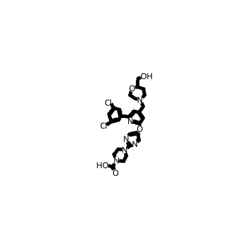 O=C(O)N1CCN(c2ncc(Oc3cc(CN4CCOC(CO)CC4)cc(-c4cc(Cl)cc(Cl)c4)n3)cn2)CC1